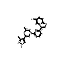 Cc1n[nH]cc1C1CN(c2nccc(-c3cnc4ccc(Cl)cn34)n2)CC(C)O1